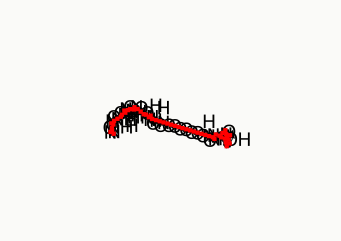 CC(=O)N1c2ccc(-c3cnc(C(=O)NCCOCCOCCOCCOCCOCCOCCOCCNC(=O)CCNC(=O)c4nc(NC(=O)CCNC(=O)c5cc(NC(=O)c6nc(NC(=O)CCNC(=O)c7cc(NC(=O)c8nccn8C)cn7C)cn6C)cn5C)cn4C)nc3)cc2N(Cc2ccccc2CO)C[C@@H]1C1CC1